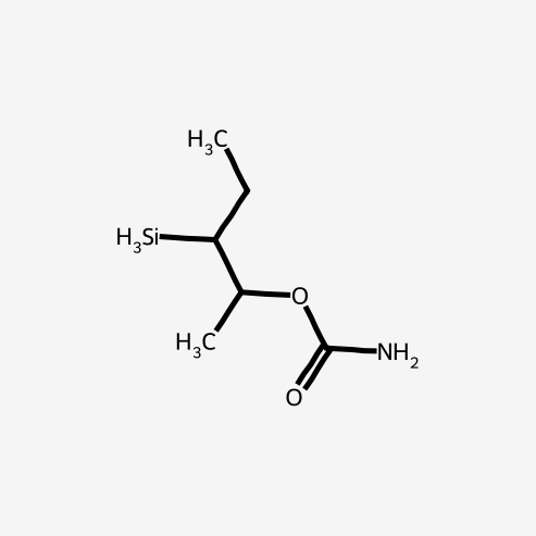 CCC([SiH3])C(C)OC(N)=O